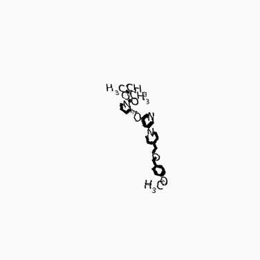 COc1ccc(COCCC2CCN(c3cncc(OC[C@@H]4CCCN4C(=O)OC(C)(C)C)c3)CC2)cc1